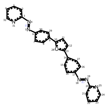 c1ccc(/N=N/c2ccc(-c3ccc(-c4ccc(/N=N/c5ccccn5)cc4)o3)cc2)nc1